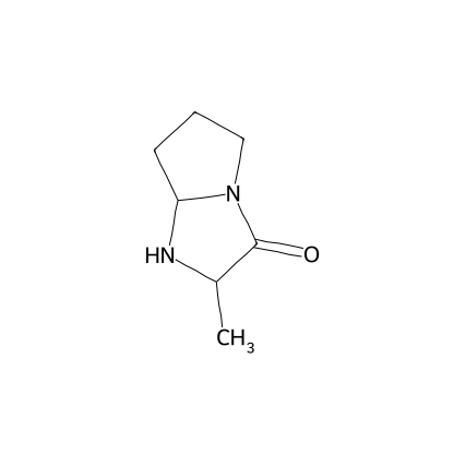 CC1NC2CCCN2C1=O